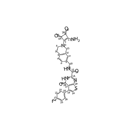 Nc1c(N2CCc3ccc(CNC(=O)c4nc5scc(-c6ccc(F)cc6)c5c(=O)[nH]4)cc3C2)c(=O)c1=O